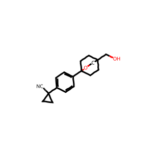 N#CC1(c2ccc(C34CCC(CO)(CC3)CO4)cc2)CC1